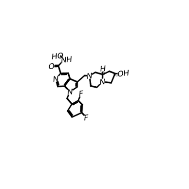 O=C(NO)c1cc2c(CN3CCN4C[C@H](O)C[C@H]4C3)cn(Cc3ccc(F)cc3F)c2cn1